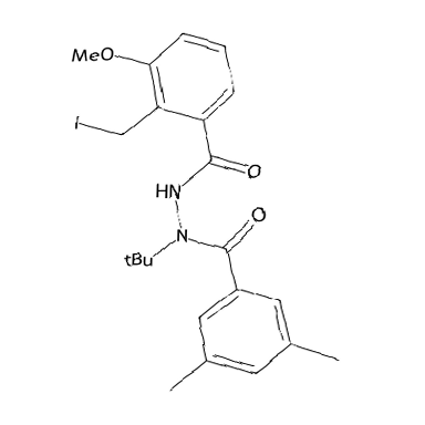 COc1cccc(C(=O)NN(C(=O)c2cc(C)cc(C)c2)C(C)(C)C)c1CI